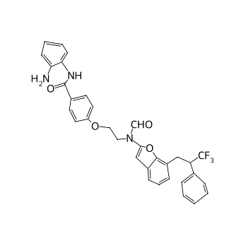 Nc1ccccc1NC(=O)c1ccc(OCCN(C=O)c2cc3cccc(CC(c4ccccc4)C(F)(F)F)c3o2)cc1